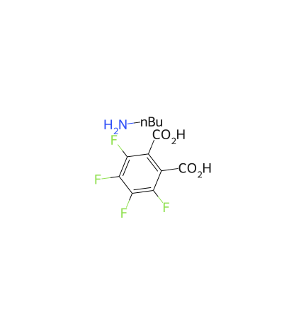 CCCCN.O=C(O)c1c(F)c(F)c(F)c(F)c1C(=O)O